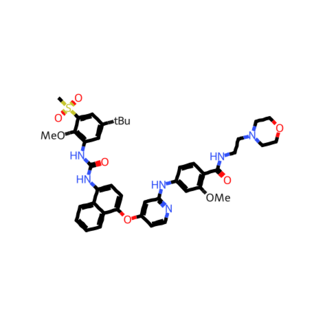 COc1cc(Nc2cc(Oc3ccc(NC(=O)Nc4cc(C(C)(C)C)cc(S(C)(=O)=O)c4OC)c4ccccc34)ccn2)ccc1C(=O)NCCN1CCOCC1